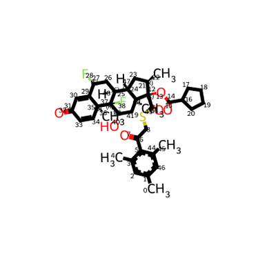 Cc1cc(C)c(C(=O)CSC(=O)[C@@]2(OC(=O)C3CCCC3)[C@H](C)C[C@H]3[C@@H]4C[C@H](F)C5=CC(=O)C=C[C@]5(C)[C@@]4(F)[C@@H](O)C[C@@]32C)c(C)c1